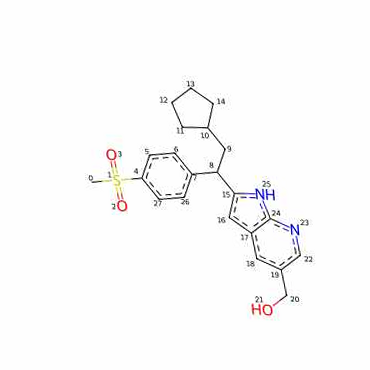 CS(=O)(=O)c1ccc(C(CC2CCCC2)c2cc3cc(CO)cnc3[nH]2)cc1